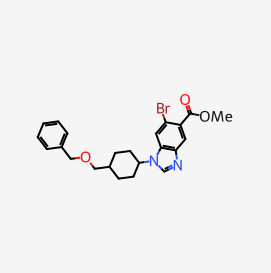 COC(=O)c1cc2ncn(C3CCC(COCc4ccccc4)CC3)c2cc1Br